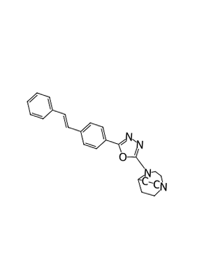 C(=Cc1ccc(-c2nnc(N3CCN4CCC3CC4)o2)cc1)c1ccccc1